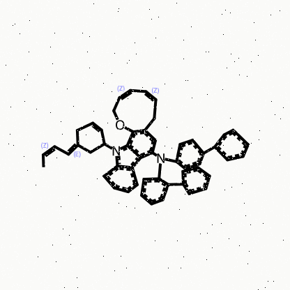 C/C=C\C=C1/CC=CC(n2c3ccccc3c3c(N(c4ccc(-c5ccccc5)cc4)c4ccccc4-c4ccccc4)cc4c(c32)OC/C=C\C=C/C4)C1